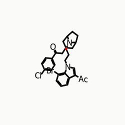 CC(=O)c1cn(CCCN2C3CCC2CC(CC(=O)c2ccc(Cl)cc2)C3)c2c(Br)cccc12